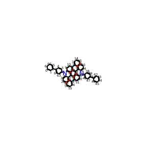 C1=CC(c2ccc(N(c3ccc(-c4ccccc4)cc3)c3ccccc3-c3ccc(-c4ccccc4N(c4ccc(-c5ccccc5)cc4)c4ccc(-c5ccccc5)cc4)cc3)cc2)=CCC1